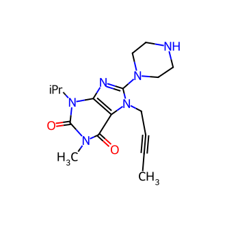 CC#CCn1c(N2CCNCC2)nc2c1c(=O)n(C)c(=O)n2C(C)C